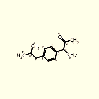 [CH2]C(C(C)=O)c1ccc(CC(C)C)cc1